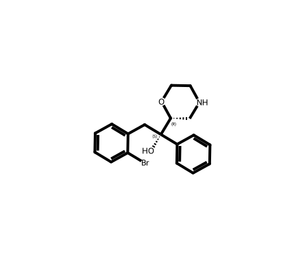 O[C@@](Cc1ccccc1Br)(c1ccccc1)[C@H]1CNCCO1